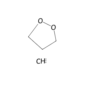 C1COOC1.[CH]